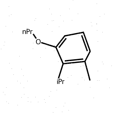 CCCOc1cccc(C)c1C(C)C